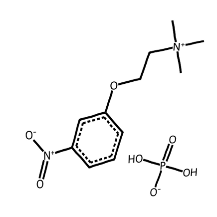 C[N+](C)(C)CCOc1cccc([N+](=O)[O-])c1.O=P([O-])(O)O